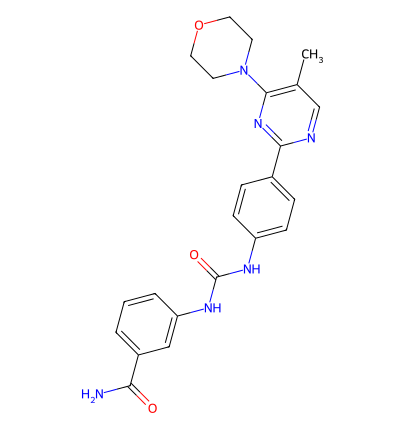 Cc1cnc(-c2ccc(NC(=O)Nc3cccc(C(N)=O)c3)cc2)nc1N1CCOCC1